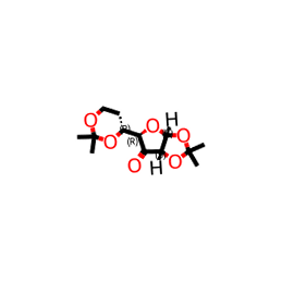 CC1(C)O[C@H]2O[C@H]([C@H]3CCOC(C)(C)O3)C(=O)[C@H]2O1